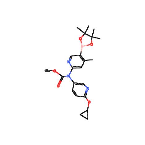 Cc1cc(N(C(=O)OC(C)(C)C)c2ccc(OC3CC3)nc2)ncc1B1OC(C)(C)C(C)(C)O1